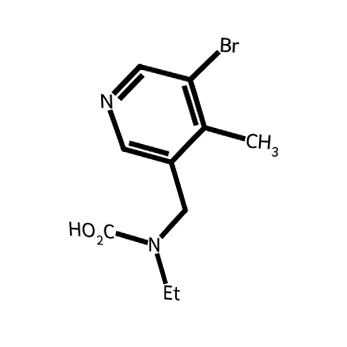 CCN(Cc1cncc(Br)c1C)C(=O)O